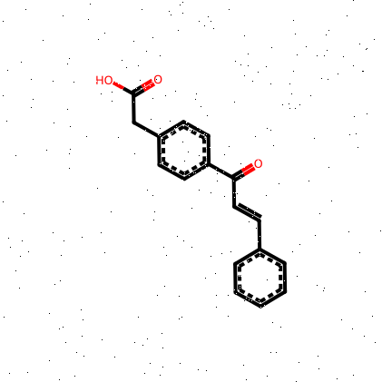 O=C(O)Cc1ccc(C(=O)/C=C/c2ccccc2)cc1